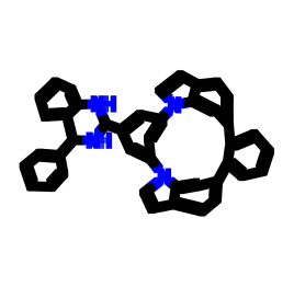 c1ccc(C2NC(c3cc4cc(c3)n3ccc5ccc(cc53)c3ccccc3c3ccc5ccn4c5c3)Nc3ccccc32)cc1